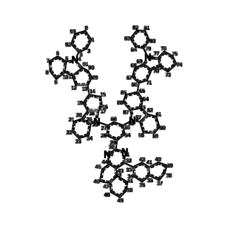 c1ccc(-n2c3ccccc3c3cc(-c4ccc5c(c4)c4ccccc4n5-c4cc(-c5nc(-c6ccc7ccccc7c6)c6c(ccc7ccccc76)n5)cc(-n5c6ccccc6c6cc(-c7ccc8c(c7)c7ccccc7n8-c7ccccc7)ccc65)c4)ccc32)cc1